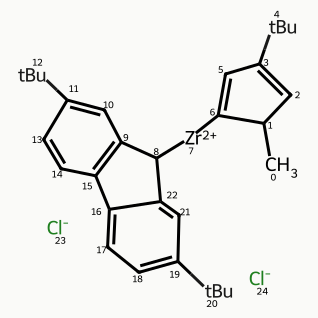 CC1C=C(C(C)(C)C)C=[C]1[Zr+2][CH]1c2cc(C(C)(C)C)ccc2-c2ccc(C(C)(C)C)cc21.[Cl-].[Cl-]